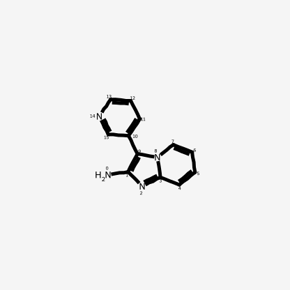 Nc1nc2ccccn2c1-c1cccnc1